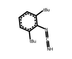 CC(C)(C)c1cccc(C(C)(C)C)c1N=C=N